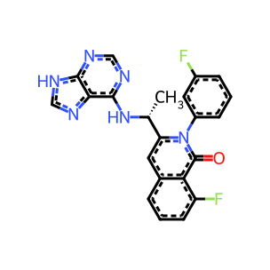 C[C@@H](Nc1ncnc2[nH]cnc12)c1cc2cccc(F)c2c(=O)n1-c1cccc(F)c1